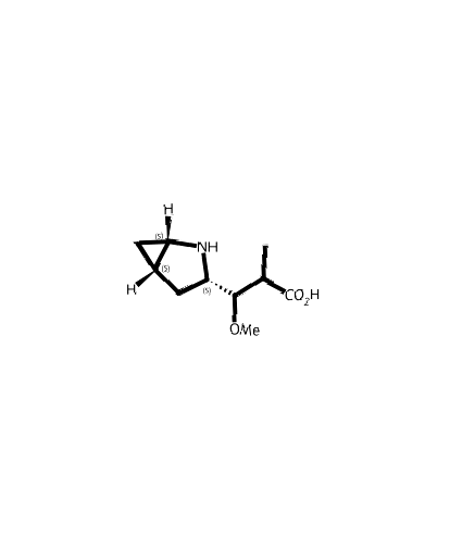 COC(C(C)C(=O)O)[C@@H]1C[C@@H]2C[C@@H]2N1